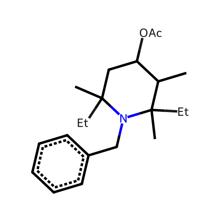 CCC1(C)CC(OC(C)=O)C(C)C(C)(CC)N1Cc1ccccc1